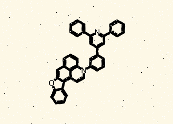 C1=CN(c2cccc(-c3cc(-c4ccccc4)nc(-c4ccccc4)c3)c2)c2cccc3cc4oc5ccccc5c4c1c23